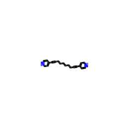 C(#Cc1ccncc1)CCCCCCC#Cc1ccncc1